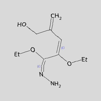 C=C(/C=C(OCC)\C(=N/N)OCC)CO